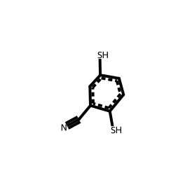 N#Cc1cc(S)ccc1S